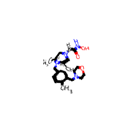 CC1CCC(CN2[C@H](C)CN(BC(=O)NO)C[C@@H]2C)C=C1CN1CCOCC1